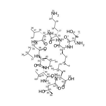 CSCC[C@H](NC(=O)[C@@H](N)[C@@H](C)O)C(=O)N[C@@H](CCCCN)C(=O)N[C@@H](CC(C)C)C(=O)N[C@@H](CC(C)C)C(=O)N[C@@H](CC(C)C)C(=O)N[C@H](C(=O)N[C@H](C(=O)N[C@@H](CC(C)C)C(=O)O)[C@@H](C)O)C(C)C